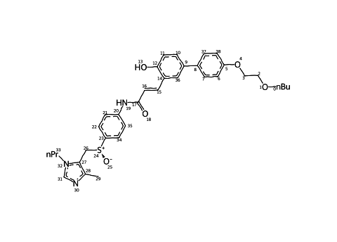 CCCCOCCOc1ccc(-c2ccc(O)c(/C=C/C(=O)Nc3ccc([S@@+]([O-])Cc4c(C)ncn4CCC)cc3)c2)cc1